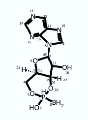 B[PH]1(O)OC[C@H]2O[C@@H](n3cnc4cncnc43)C(O)[C@@H]2O1